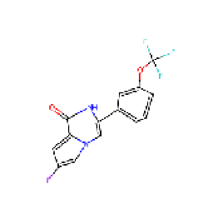 O=c1[nH]c(-c2cccc(OC(F)(F)F)c2)cn2cc(I)cc12